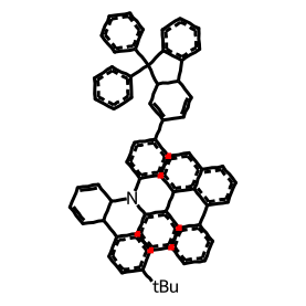 CC(C)(C)c1ccc(C2C=CC=CC2N(c2ccc(C3=CC4C(C=C3)c3ccccc3C4(c3ccccc3)c3ccccc3)cc2)c2ccccc2-c2cccc3cccc(-c4ccccc4)c23)cc1